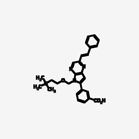 C[Si](C)(C)CCOCn1c(-c2cccc(C(=O)O)c2)cc2nc(C=Cc3ccccc3)cnc21